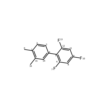 Cc1ccc(-c2c(F)cc(F)cc2F)cc1C